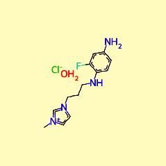 C[n+]1ccn(CCCNc2ccc(N)cc2F)c1.O.[Cl-]